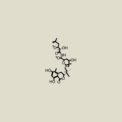 C=C(C)CC(OC)[C@H](O)C(=O)NC(OC)C1C[C@@H](O)C(C)(C)[C@@H](C[C@H](C)C(C)[C@H]2Cc3c(C)c(O)cc(O)c3C(=O)O2)O1